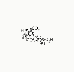 CCOC(Cc1ccc(OCCn2cccc2-c2cccc(CC(=O)O)c2C)cc1)C(=O)O